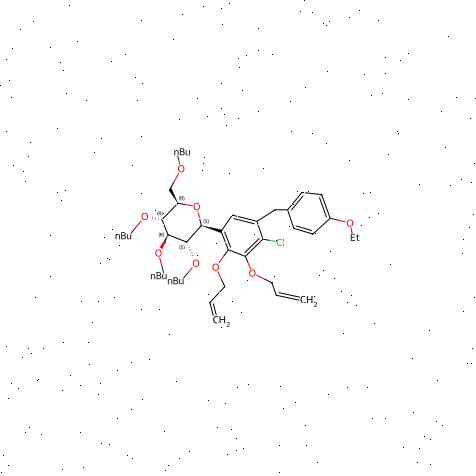 C=CCOc1c([C@@H]2O[C@H](COCCCC)[C@@H](OCCCC)[C@H](OCCCC)[C@H]2OCCCC)cc(Cc2ccc(OCC)cc2)c(Cl)c1OCC=C